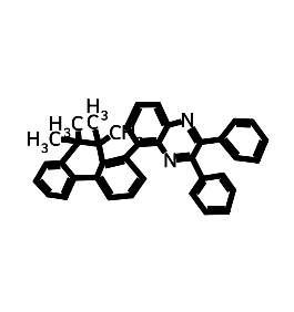 CC1(C)c2ccccc2-c2cccc(-c3cccc4nc(-c5ccccc5)c(-c5ccccc5)nc34)c2C1(C)C